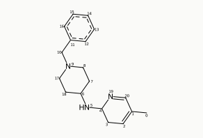 CC1=CCC(NC2CCN(Cc3ccccc3)CC2)N=C1